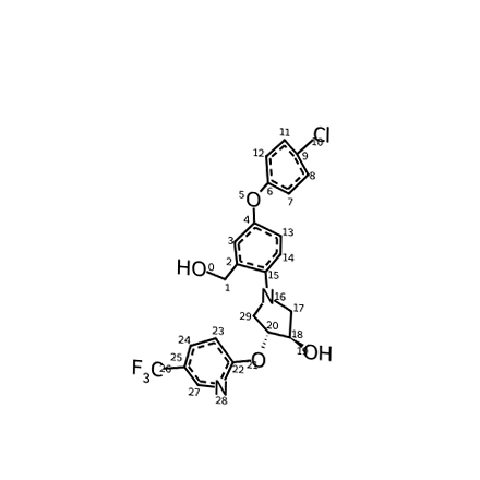 OCc1cc(Oc2ccc(Cl)cc2)ccc1N1C[C@@H](O)[C@H](Oc2ccc(C(F)(F)F)cn2)C1